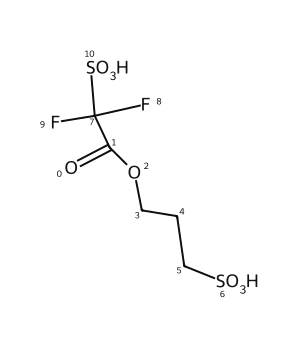 O=C(OCCCS(=O)(=O)O)C(F)(F)S(=O)(=O)O